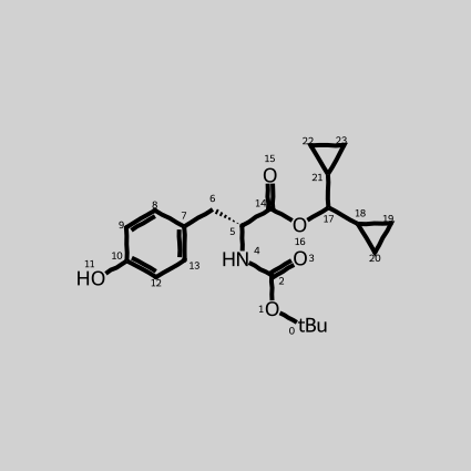 CC(C)(C)OC(=O)N[C@H](Cc1ccc(O)cc1)C(=O)OC(C1CC1)C1CC1